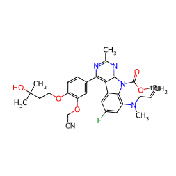 C=CCN(C)c1cc(F)cc2c3c(-c4ccc(OCCC(C)(C)O)c(OCC#N)c4)nc(C)nc3n(C(=O)OC(C)(C)C)c12